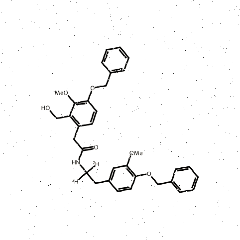 [2H]C([2H])(Cc1ccc(OCc2ccccc2)c(OC)c1)NC(=O)Cc1ccc(OCc2ccccc2)c(OC)c1CO